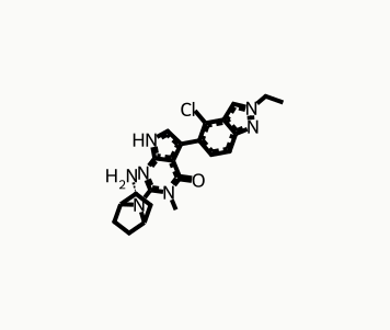 CCn1cc2c(Cl)c(-c3c[nH]c4nc(N5C6CCC5[C@H](N)C6)n(C)c(=O)c34)ccc2n1